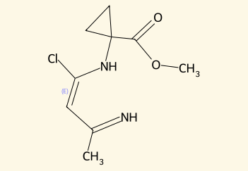 COC(=O)C1(N/C(Cl)=C\C(C)=N)CC1